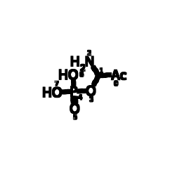 CC(=O)C(N)OP(=O)(O)O